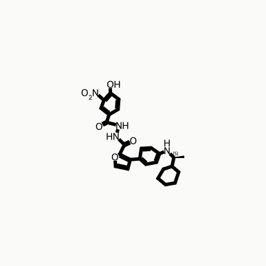 C[C@H](Nc1ccc(-c2ccoc2C(=O)NNC(=O)c2ccc(O)c([N+](=O)[O-])c2)cc1)C1CCCCC1